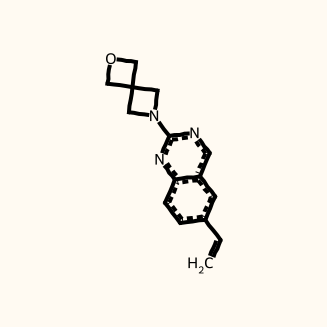 C=Cc1ccc2nc(N3CC4(COC4)C3)ncc2c1